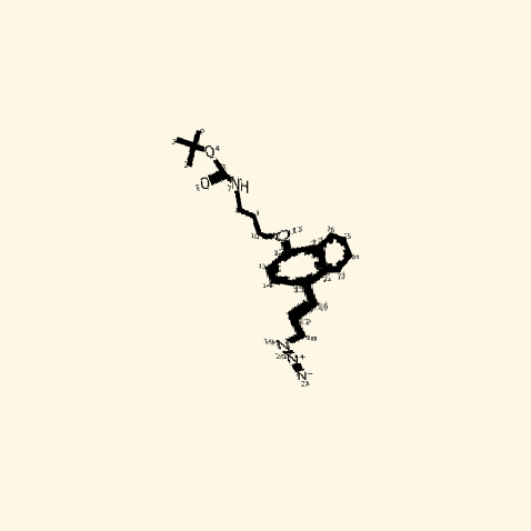 CC(C)(C)OC(=O)NCCCOc1ccc(/C=C/CN=[N+]=[N-])c2ccccc12